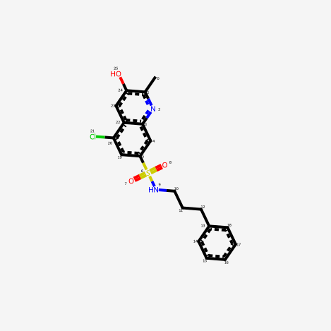 Cc1nc2cc(S(=O)(=O)NCCCc3ccccc3)cc(Cl)c2cc1O